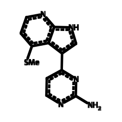 CSc1ccnc2[nH]cc(-c3ccnc(N)n3)c12